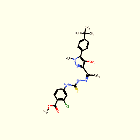 COC(=O)c1ccc(NC(=S)N/N=C(/C)c2nn(C)c(-c3ccc(C(C)(C)C)cc3)c2O)cc1Cl